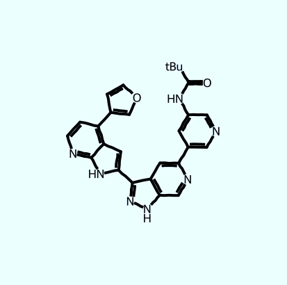 CC(C)(C)C(=O)Nc1cncc(-c2cc3c(-c4cc5c(-c6ccoc6)ccnc5[nH]4)n[nH]c3cn2)c1